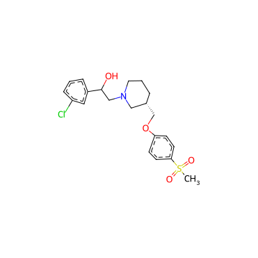 CS(=O)(=O)c1ccc(OC[C@H]2CCCN(CC(O)c3cccc(Cl)c3)C2)cc1